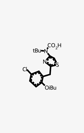 CC(C)COc1ccc(Cl)cc1Cc1nc(N(C(=O)O)C(C)(C)C)cs1